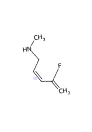 C=C(F)/C=C\CNC